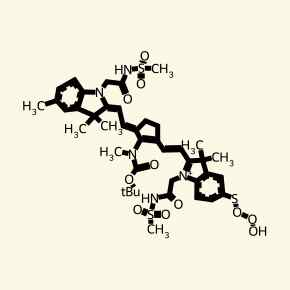 Cc1ccc2c(c1)C(C)(C)/C(=C\C=C1/CCC(/C=C/C3=[N+](CC(=O)NS(C)(=O)=O)c4ccc(SOOO)cc4C3(C)C)=C1N(C)C(=O)OC(C)(C)C)N2CC(=O)NS(C)(=O)=O